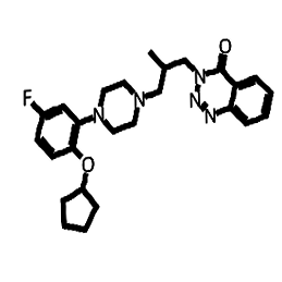 CC(CN1CCN(c2cc(F)ccc2OC2CCCC2)CC1)Cn1nnc2ccccc2c1=O